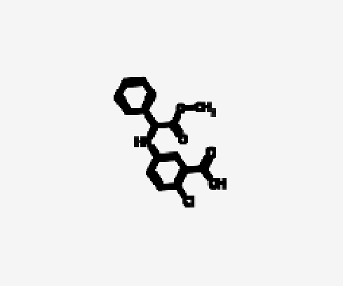 COC(=O)C(Nc1ccc(Cl)c(C(=O)O)c1)c1ccccc1